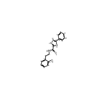 O=C(NCCc1ccccc1Cl)c1nnc(-c2ccccc2)o1